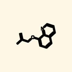 C=C(C)COc1cccc2cccnc12